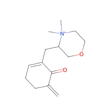 C=C1CCC=C(CC2COCC[N+]2(C)C)C1=O